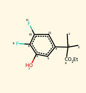 CCOC(=O)C(C)(C)c1cc(O)c(F)c(F)c1